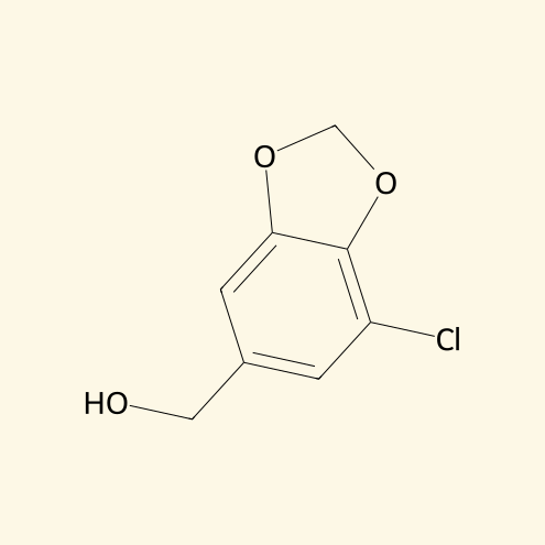 OCc1cc(Cl)c2c(c1)OCO2